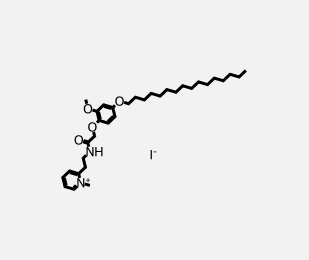 CCCCCCCCCCCCCCCCOc1ccc(OCC(=O)NCCc2cccc[n+]2C)c(OC)c1.[I-]